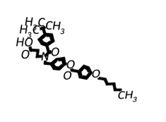 CCCCCCCOc1ccc(C(=O)Oc2ccc(CN(CCC(=O)O)C(=O)c3ccc(C(C)(C)C)cc3)cc2)cc1